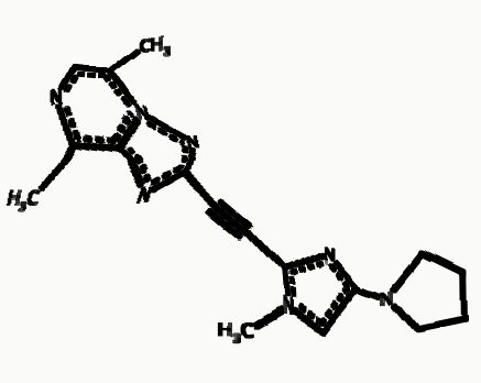 Cc1ncc(C)n2nc(C#Cc3nc(N4CCCC4)cn3C)nc12